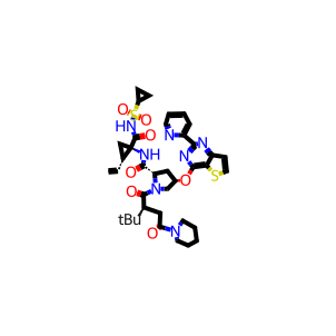 C=C[C@@H]1C[C@]1(NC(=O)[C@@H]1C[C@@H](Oc2nc(-c3ccccn3)nc3ccsc23)CN1C(=O)[C@@H](CC(=O)N1CCCCC1)C(C)(C)C)C(=O)NS(=O)(=O)C1CC1